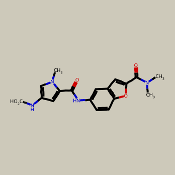 CN(C)C(=O)c1cc2cc(NC(=O)c3cc(NC(=O)O)cn3C)ccc2o1